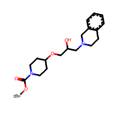 CC(C)(C)OC(=O)N1CCC(OCC(O)CN2CCc3ccccc3C2)CC1